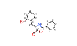 O=C1OC(c2ccccc2)=N/C1=C\c1ccccc1Br